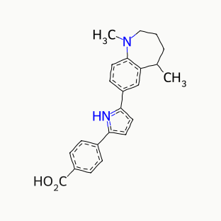 CC1CCCN(C)c2ccc(-c3ccc(-c4ccc(C(=O)O)cc4)[nH]3)cc21